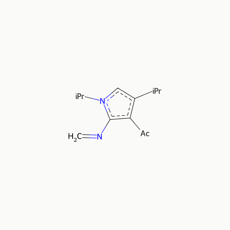 C=Nc1c(C(C)=O)c(C(C)C)cn1C(C)C